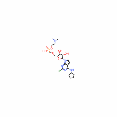 CN(C)CCOP(=O)(O)COC[C@H]1O[C@@H](n2ccc3c(NC4CCCC4)nc(Cl)nc32)[C@H](O)[C@@H]1O